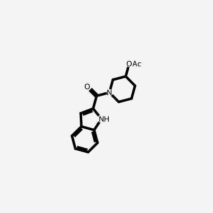 CC(=O)OC1CCCN(C(=O)c2cc3ccccc3[nH]2)C1